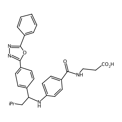 CC(C)CC(Nc1ccc(C(=O)NCCC(=O)O)cc1)c1ccc(-c2nnc(-c3ccccc3)o2)cc1